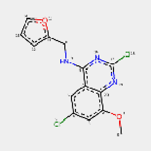 COc1cc(Cl)cc2c(NCc3ccco3)nc(Cl)nc12